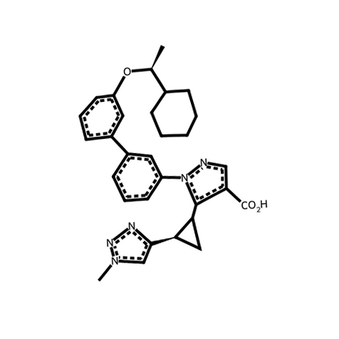 C[C@H](Oc1cccc(-c2cccc(-n3ncc(C(=O)O)c3C3C[C@H]3c3cn(C)nn3)c2)c1)C1CCCCC1